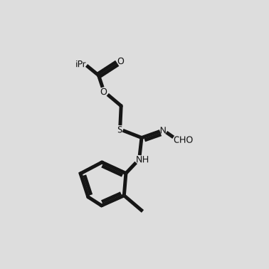 Cc1ccccc1N/C(=N\C=O)SCOC(=O)C(C)C